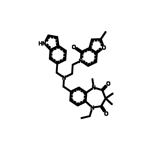 CCN1C(=O)C(C)(C)C(=O)N(C)c2cc(CN(CCn3ccc4oc(C)cc4c3=O)Cc3ccc4cc[nH]c4c3)ccc21